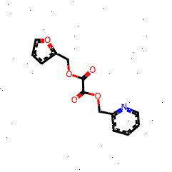 O=C(OCc1ccccn1)C(=O)OCc1ccco1